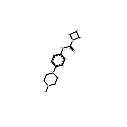 CN1CCN(c2ccc(NC(=O)N3CCC3)cc2)CC1